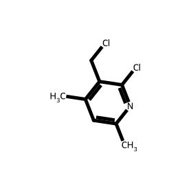 Cc1cc(C)c(CCl)c(Cl)n1